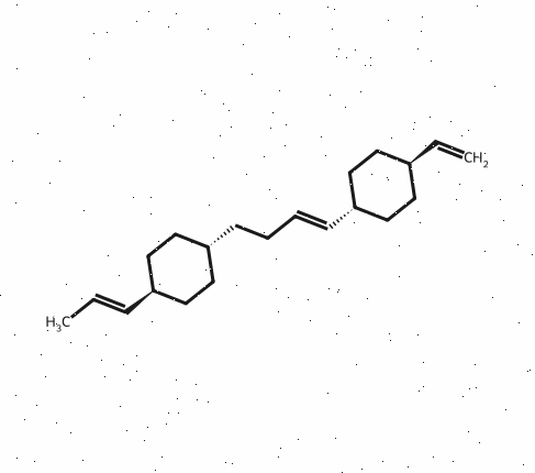 C=C[C@H]1CC[C@H](C=CCC[C@H]2CC[C@H](C=CC)CC2)CC1